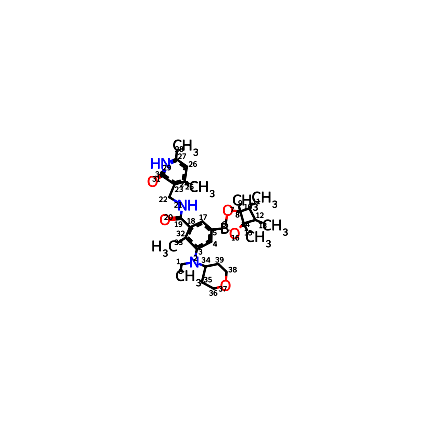 CCN(c1cc(B2OC3(C)C(C)C(C)C3(C)O2)cc(C(=O)NCc2c(C)cc(C)[nH]c2=O)c1C)C1CCOCC1